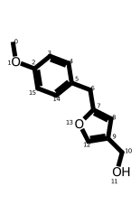 COc1ccc(Cc2cc(CO)co2)cc1